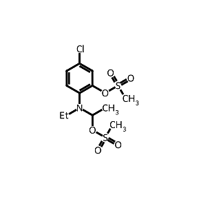 CCN(c1ccc(Cl)cc1OS(C)(=O)=O)C(C)OS(C)(=O)=O